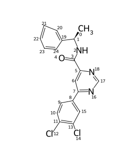 C[C@@H](NC(=O)c1cc(-c2ccc(Cl)c(Cl)c2)ncn1)c1ccccc1